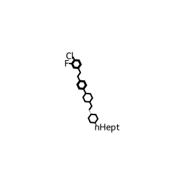 CCCCCCC[C@H]1CC[C@H](CCC2CCC(c3ccc(CCc4ccc(Cl)c(F)c4)cc3)CC2)CC1